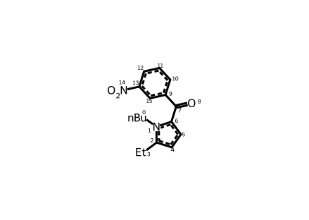 CCCCn1c(CC)ccc1C(=O)c1cccc([N+](=O)[O-])c1